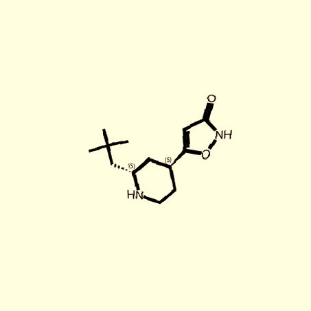 CC(C)(C)C[C@@H]1C[C@@H](c2cc(=O)[nH]o2)CCN1